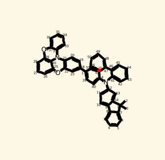 CC1(C)c2ccccc2-c2ccc(N(c3ccc(-c4ccc5c(c4)Oc4cccc6c4N5c4ccccc4O6)cc3)c3ccccc3-c3ccccc3)cc21